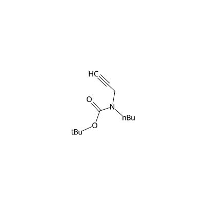 C#CCN(CCCC)C(=O)OC(C)(C)C